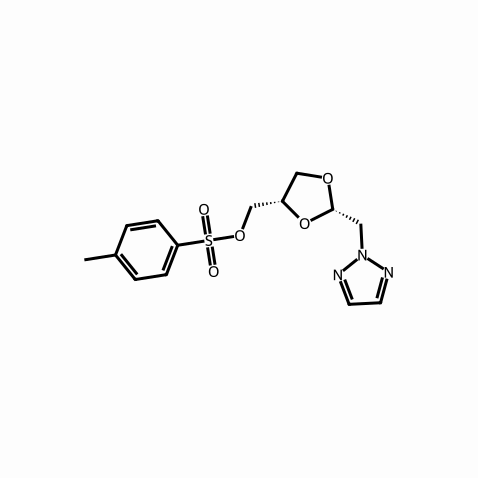 Cc1ccc(S(=O)(=O)OC[C@@H]2CO[C@H](Cn3nccn3)O2)cc1